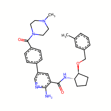 Cc1cccc(CO[C@H]2CCC[C@@H]2NC(=O)c2cc(-c3ccc(C(=O)N4CCN(C)CC4)cc3)cnc2N)c1